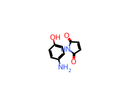 Nc1ccc(O)cc1.O=C1C=CC(=O)N1